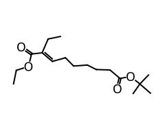 CCOC(=O)C(=CCCCCCC(=O)OC(C)(C)C)CC